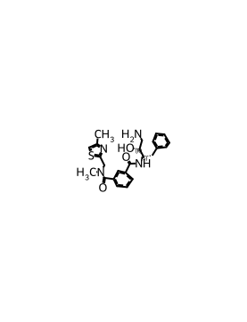 Cc1csc(CN(C)C(=O)c2cccc(C(=O)N[C@@H](Cc3ccccc3)[C@H](O)CN)c2)n1